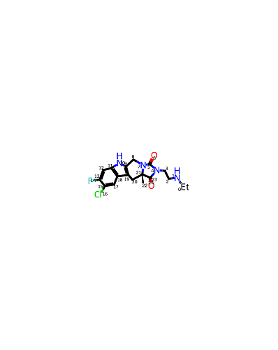 CCNCCN1C(=O)N2Cc3[nH]c4cc(F)c(Cl)cc4c3C[C@@]2(C)C1=O